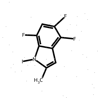 Cc1cc2c(F)c(F)cc(F)c2n1I